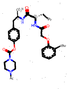 CC(=O)N1CCN(C(=O)Oc2ccc(C[C@H](NC(=O)[C@H](CC(C)C)NC(=O)COc3ccccc3C(C)(C)C)C(=O)O)cc2)CC1